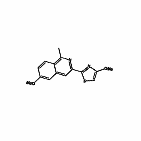 COc1ccc2c(C)nc(-c3nc(OC)cs3)cc2c1